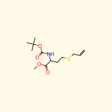 C=CCSCCC(NC(=O)OC(C)(C)C)C(=O)OC